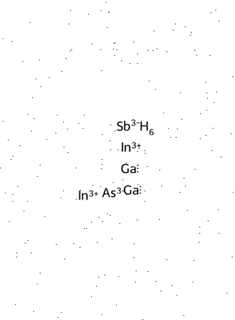 [As-3].[Ga].[Ga].[In+3].[In+3].[SbH6-3]